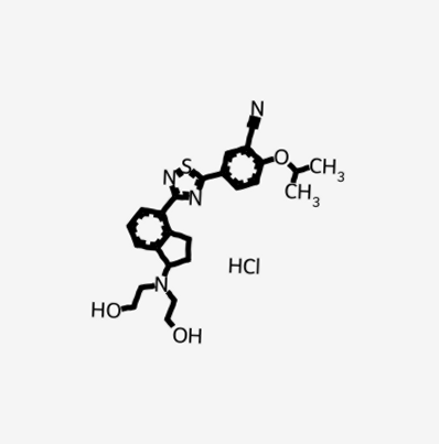 CC(C)Oc1ccc(-c2nc(-c3cccc4c3CCC4N(CCO)CCO)ns2)cc1C#N.Cl